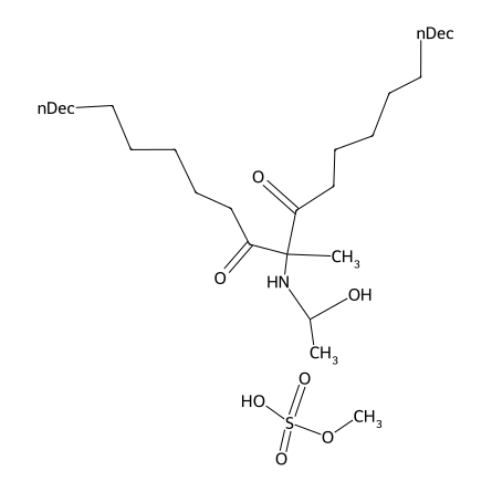 CCCCCCCCCCCCCCCC(=O)C(C)(NC(C)O)C(=O)CCCCCCCCCCCCCCC.COS(=O)(=O)O